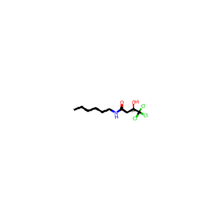 CCCCCCNC(=O)C[C@@H](O)C(Cl)(Cl)Cl